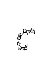 c1cc(C2=NCCN2)cc(-c2cc(-c3cccc(C4=NCCN4)c3)on2)c1